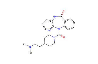 CCN(CC)CCC1CCN(C(=O)N2c3ccccc3C(=O)Nc3cccnc32)CC1